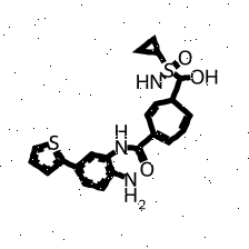 N=S(=O)(C1CC1)C(O)C1C=CC=C(C(=O)Nc2cc(-c3cccs3)ccc2N)C=C1